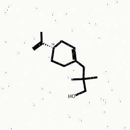 C=C(C)[C@@H]1CC=C(CC(C)(C)CO)CC1